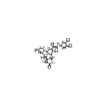 Cc1nc(F)ccc1-c1cc(CN2CC(=O)N(C)C2=N)cc(C(=O)NCc2ccc(Cl)c(Cl)c2)c1